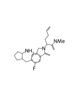 C=CCCC(C(=C)NC)N1Cc2cc(CC3CCCC3N)c(F)cc2C1=C